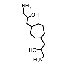 NCC(O)CC1CCCC(CC(O)CN)CC1